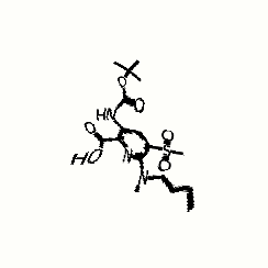 C=CCCN(C)c1nc(C(=O)O)c(NC(=O)OC(C)(C)C)cc1S(C)(=O)=O